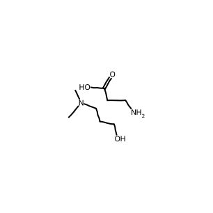 CN(C)CCCO.NCCC(=O)O